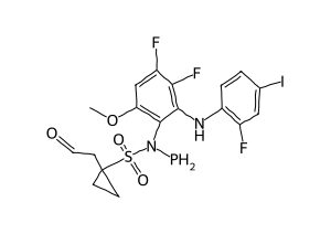 COc1cc(F)c(F)c(Nc2ccc(I)cc2F)c1N(P)S(=O)(=O)C1(CC=O)CC1